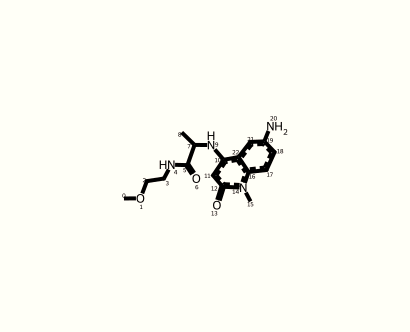 COCCNC(=O)C(C)Nc1cc(=O)n(C)c2ccc(N)cc12